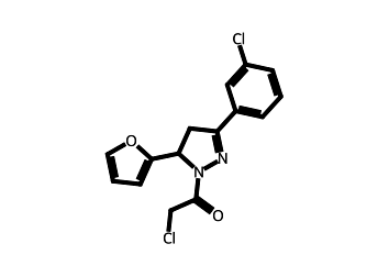 O=C(CCl)N1N=C(c2cccc(Cl)c2)CC1c1ccco1